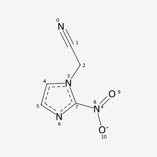 N#CCn1ccnc1[N+](=O)[O-]